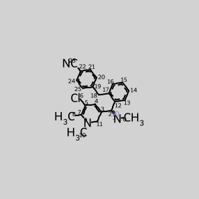 C/N=C(/C1=CC(Cl)=C(C)N(C)C1)c1ccccc1Cc1ccc(C#N)cc1